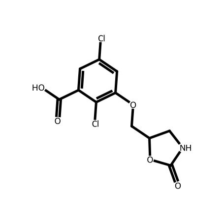 O=C1NCC(COc2cc(Cl)cc(C(=O)O)c2Cl)O1